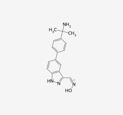 CC(C)(N)c1ccc(-c2ccc3[nH]nc(/C=N\O)c3c2)cc1